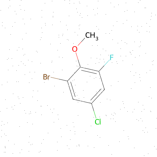 COc1c(F)cc(Cl)cc1Br